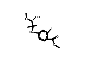 COC(=O)c1ccc(NC(C)(C)[C@H](O)OC)cc1F